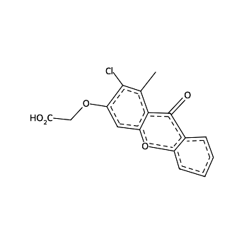 Cc1c(Cl)c(OCC(=O)O)cc2oc3ccccc3c(=O)c12